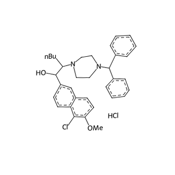 CCCCC(C(O)c1ccc2c(Cl)c(OC)ccc2c1)N1CCN(C(c2ccccc2)c2ccccc2)CC1.Cl